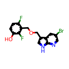 Oc1ccc(F)c(COCc2c[nH]c3ncc(Br)cc23)c1F